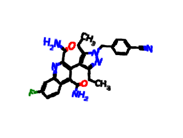 CCc1nn(Cc2ccc(C#N)cc2)c(CC)c1-c1c(C(N)=O)nc2cc(F)ccc2c1C(N)=O